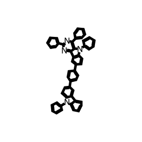 c1ccc(-c2nc(-c3ccccc3)c3c(n2)c2cc(-c4ccc(-c5ccc6c(c5)c5ccccc5n6-c5ccccc5)cc4)ccc2n3-c2ccccc2)cc1